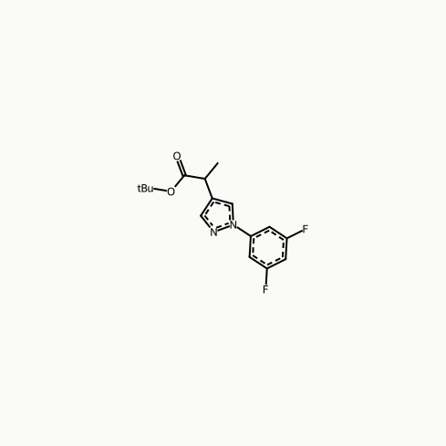 CC(C(=O)OC(C)(C)C)c1cnn(-c2cc(F)cc(F)c2)c1